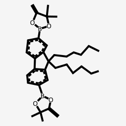 C=C1OB(c2ccc3c(c2)C(CCCCCC)(CCCCCC)c2cc(B4OC(=C)C(C)(C)O4)ccc2-3)OC1(C)C